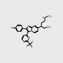 CCC(CCNC)c1ccn2c(-c3ccnc(C(F)(F)F)n3)c(-c3ccc(F)cc3)nc2c1